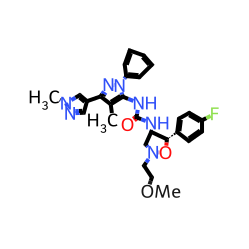 COCCN1C[C@@H](NC(=O)Nc2c(C)c(-c3cnn(C)c3)nn2-c2ccccc2)[C@H](c2ccc(F)cc2)O1